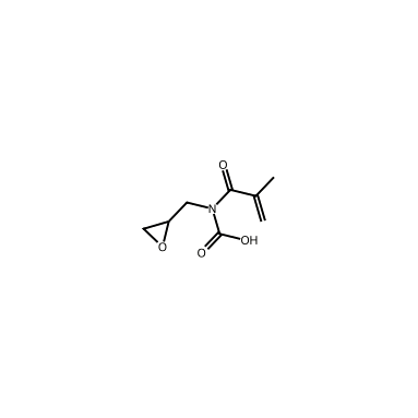 C=C(C)C(=O)N(CC1CO1)C(=O)O